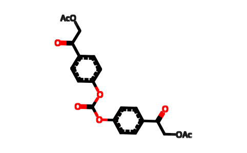 CC(=O)OCC(=O)c1ccc(OC(=O)Oc2ccc(C(=O)COC(C)=O)cc2)cc1